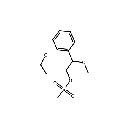 CCO.COC(COS(C)(=O)=O)c1ccccc1